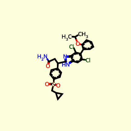 CC(C)Oc1ccccc1-c1c(Cl)cc2[nH]c(C(CC(N)=O)c3ccc(S(=O)(=O)CC4CC4)cc3)nc2c1Cl